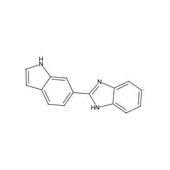 [c]1ccc2[nH]c(-c3ccc4cc[nH]c4c3)nc2c1